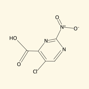 O=C(O)c1nc([N+](=O)[O-])ncc1Cl